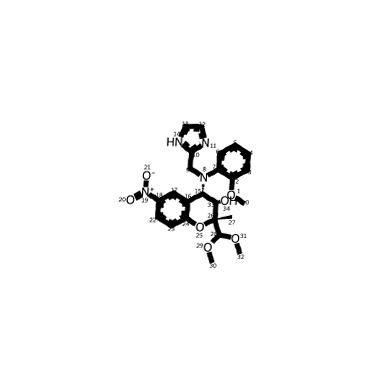 COc1ccccc1N(Cc1ncc[nH]1)[C@H]1c2cc([N+](=O)[O-])ccc2O[C@@](C)(C(OC)OC)[C@@H]1O